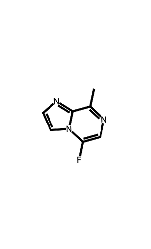 Cc1ncc(F)n2ccnc12